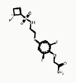 NC(=O)COc1c(F)cc(SCCNS(=O)(=O)C2CC[C@H]2F)cc1F